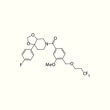 COc1cc(C(=O)N2CCC3(c4ccc(F)cc4)OCOC3C2)ccc1COCCC(F)(F)F